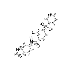 C[C@H]1CN(S(=O)(=O)c2cccnc2)CC[C@@H]1C(=O)Nc1ccc2scnc2c1